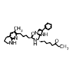 CCC(=O)CCCCC[C@H](NC(=O)CCCCc1nc2c(cc1C)CCCN2)c1ncc(-c2ccccc2)[nH]1